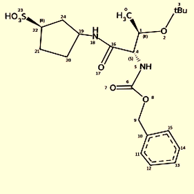 C[C@@H](OC(C)(C)C)[C@H](NC(=O)OCc1ccccc1)C(=O)NC1CC[C@@H](S(=O)(=O)O)C1